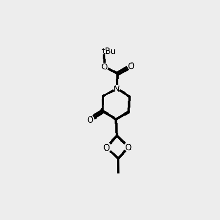 CC1OC(C2CCN(C(=O)OC(C)(C)C)CC2=O)O1